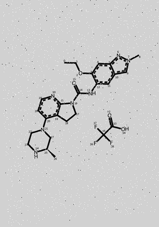 CCOc1cc2nn(C)cc2cc1NC(=O)N1CCc2c(N3CCN[C@H](C)C3)ccnc21.O=C(O)C(F)(F)F